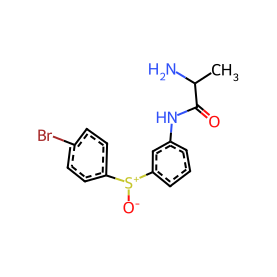 CC(N)C(=O)Nc1cccc([S+]([O-])c2ccc(Br)cc2)c1